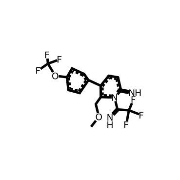 COCc1c(-c2ccc(OC(F)(F)F)cc2)ccc(=N)n1C(=N)C(F)(F)F